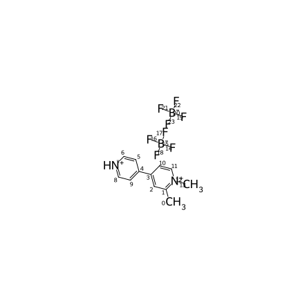 Cc1cc(-c2cc[nH+]cc2)cc[n+]1C.F[B-](F)(F)F.F[B-](F)(F)F